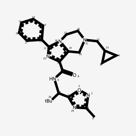 Cc1noc(C(NC(=O)c2nc(-c3ccccc3)n3c2CN(CC2CC2)CC3)C(C)(C)C)n1